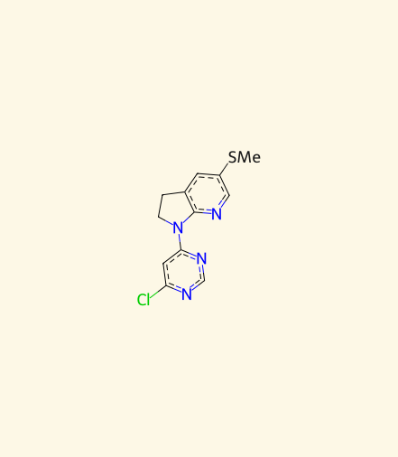 CSc1cnc2c(c1)CCN2c1cc(Cl)ncn1